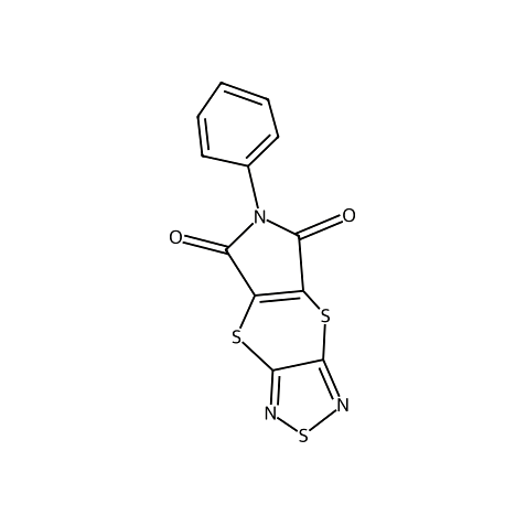 O=c1c2sc3nsnc3sc=2c(=O)n1-c1ccccc1